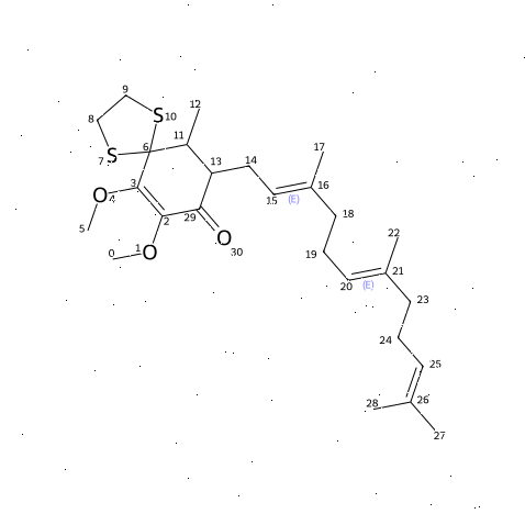 COC1=C(OC)C2(SCCS2)C(C)C(C/C=C(\C)CC/C=C(\C)CCC=C(C)C)C1=O